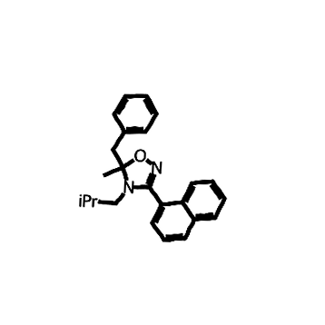 CC(C)CN1C(c2cccc3ccccc23)=NOC1(C)Cc1ccccc1